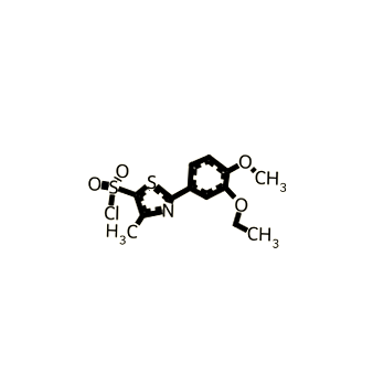 CCOc1cc(-c2nc(C)c(S(=O)(=O)Cl)s2)ccc1OC